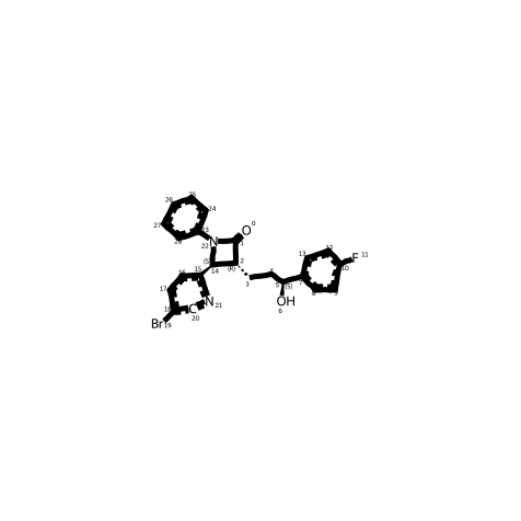 O=C1[C@H](CC[C@H](O)c2ccc(F)cc2)[C@@H](c2ccc(Br)cn2)N1c1ccccc1